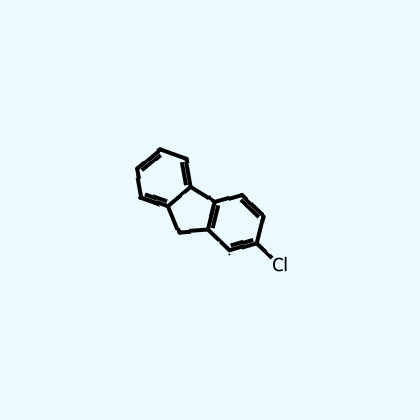 Clc1[c]c2c(cc1)-c1ccccc1C2